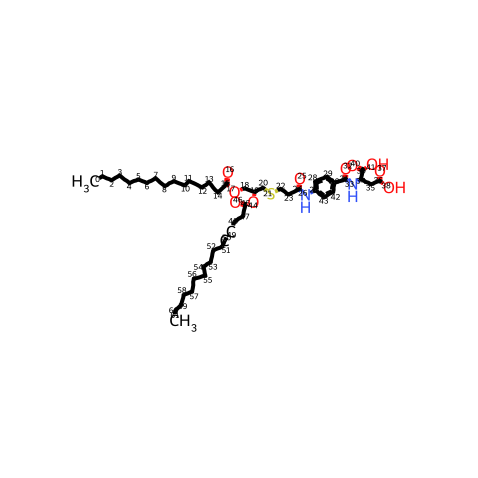 CCCCCCCCCCCCCCCC(=O)OCC(CSCCC(=O)Nc1ccc(C(=O)NC(CC(=O)O)C(=O)O)cc1)OC(=O)CCCCCCCCCCCCCCC